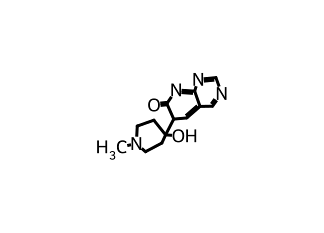 CN1CCC(O)(C2C=c3cncnc3=NC2=O)CC1